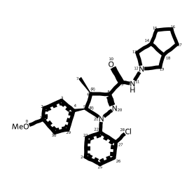 COc1ccc([C@H]2[C@@H](C)C(C(=O)NN3CC4CCCC4C3)=NN2c2ccccc2Cl)cc1